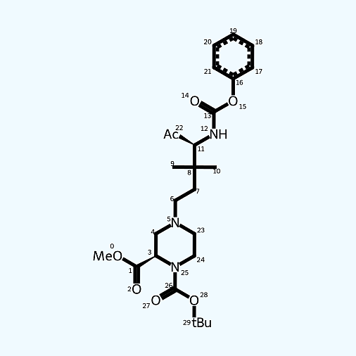 COC(=O)[C@H]1CN(CCC(C)(C)[C@H](NC(=O)Oc2ccccc2)C(C)=O)CCN1C(=O)OC(C)(C)C